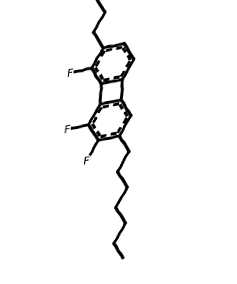 CCCCCCCc1cc2c(c(F)c1F)-c1c-2ccc(CCC)c1F